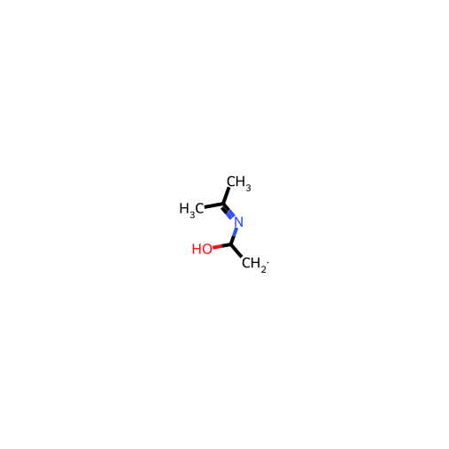 [CH2]C(O)N=C(C)C